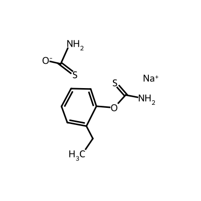 CCc1ccccc1OC(N)=S.NC([O-])=S.[Na+]